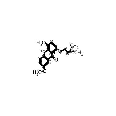 COc1ccc2sc3c(C)ccc(NCCN(C)C)c3c(=O)c2c1